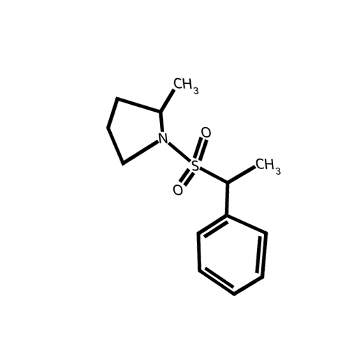 CC1CCCN1S(=O)(=O)C(C)c1ccccc1